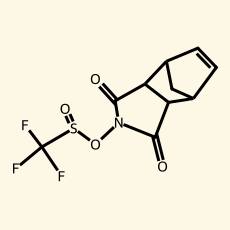 O=C1C2C3C=CC(C3)C2C(=O)N1OS(=O)C(F)(F)F